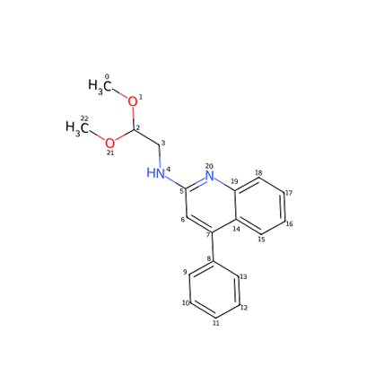 COC(CNc1cc(-c2ccccc2)c2ccccc2n1)OC